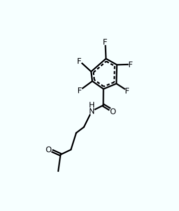 CC(=O)CCCNC(=O)c1c(F)c(F)c(F)c(F)c1F